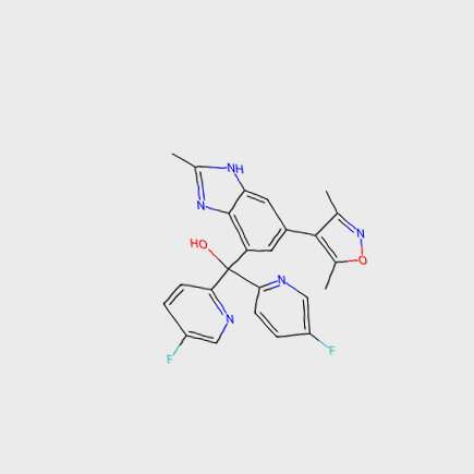 Cc1nc2c(C(O)(c3ccc(F)cn3)c3ccc(F)cn3)cc(-c3c(C)noc3C)cc2[nH]1